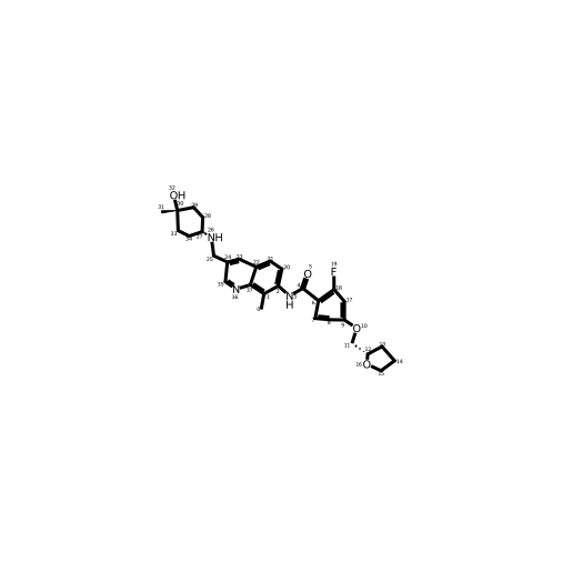 Cc1c(NC(=O)c2ccc(OC[C@@H]3CCCO3)cc2F)ccc2cc(CN[C@H]3CC[C@@](C)(O)CC3)cnc12